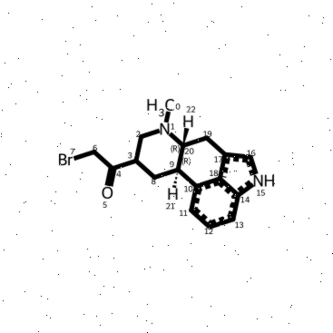 CN1CC(C(=O)CBr)C[C@@H]2c3cccc4[nH]cc(c34)C[C@H]21